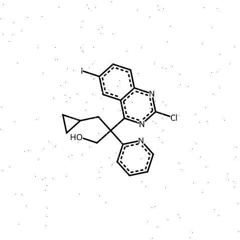 OCC(CC1CC1)(c1ccccn1)c1nc(Cl)nc2ccc(I)cc12